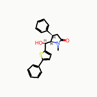 CN1C(=O)C[C@H](c2ccccc2)[C@@H]1[C@H](O)c1ccc(-c2ccccc2)s1